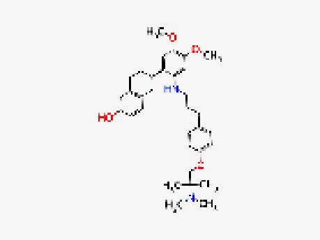 COc1cc(NCCCc2ccc(OCC(C)(C)N(C)C)cc2)c([C@@H]2CCc3cc(O)ccc3C2)cc1OC